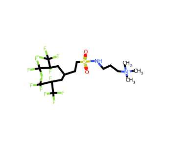 C[N+](C)(C)CCCNS(=O)(=O)CCC(CC(F)(C(F)(F)F)C(F)(F)F)CC(F)(C(F)(F)F)C(F)(F)F